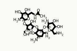 CC(=O)NCC1O[C@H](OC2C(O)[C@H](OC3C(O)[C@H](N)CC(N)[C@H]3O[C@H]3OC(CN)[C@@H](O)C(O)C3N)O[C@@H]2CO)C(N)C(O)[C@@H]1O